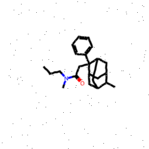 CCCN(C)C(=O)CC1(c2ccccc2)C2CC3CC1CC(C2)C3C